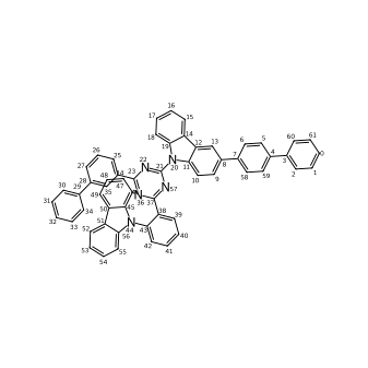 c1ccc(-c2ccc(-c3ccc4c(c3)c3ccccc3n4-c3nc(-c4cccc(-c5ccccc5)c4)nc(-c4ccccc4-n4c5ccccc5c5ccccc54)n3)cc2)cc1